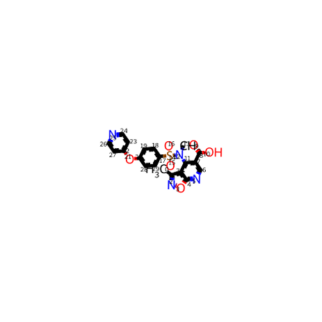 Cc1noc2ncc(C(=O)O)c(N(C)S(=O)(=O)c3ccc(Oc4ccncc4)cc3)c12